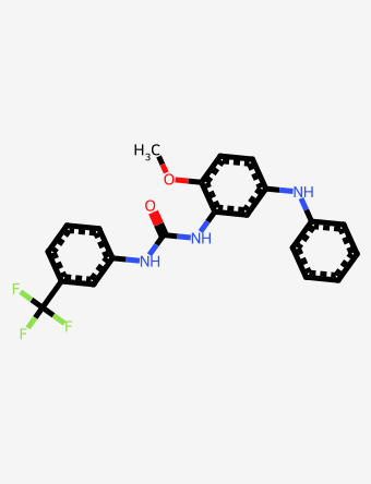 COc1ccc(Nc2ccccc2)cc1NC(=O)Nc1cccc(C(F)(F)F)c1